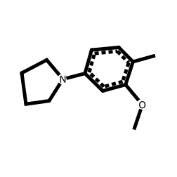 COc1cc(N2CCCC2)ccc1C